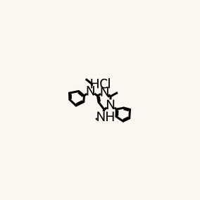 CCN(C1=CC(NC)N(c2ccccc2)C(C)=N1)c1ccccc1.Cl